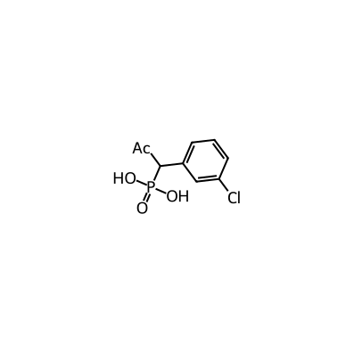 CC(=O)C(c1cccc(Cl)c1)P(=O)(O)O